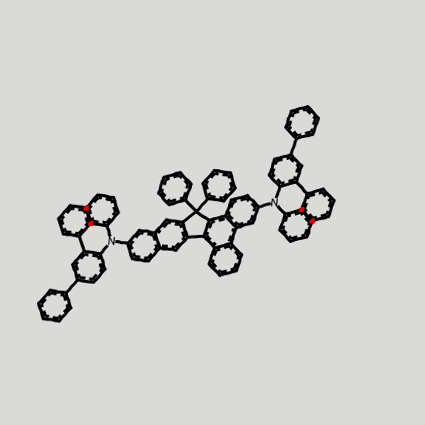 c1ccc(-c2ccc(N(c3ccccc3)c3ccc4cc5c(cc4c3)C(c3ccccc3)(c3ccccc3)c3c-5c4ccccc4c4cc(N(c5ccccc5)c5ccc(-c6ccccc6)cc5-c5ccccc5)ccc34)c(-c3ccccc3)c2)cc1